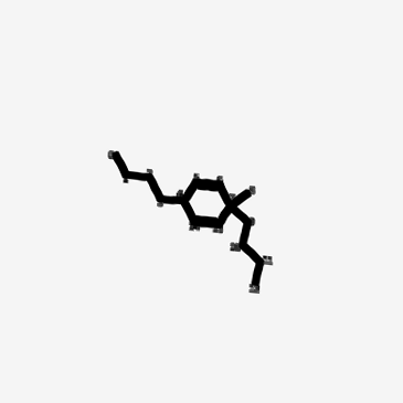 CCCCC1C=CC(C)(CCCC)C=C1